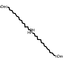 CCCCCCCCCCCCCCCCCCCCCCCCPPCCCCCCCCCCCCCCCCCCCCCCCC